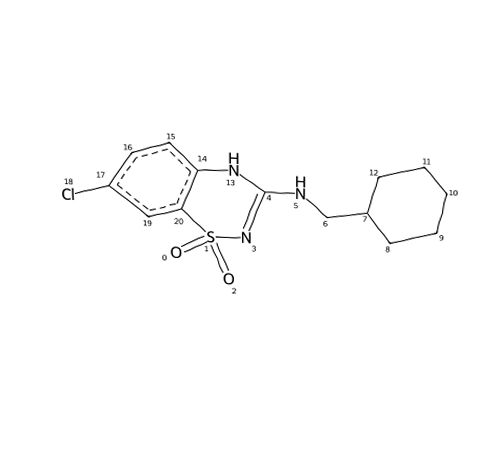 O=S1(=O)N=C(NCC2CCCCC2)Nc2ccc(Cl)cc21